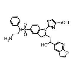 CCCCCCCCc1csc(N2c3ccc(S(=O)(=O)N(CCN)c4ccccc4)cc3CC2CC(O)c2cnc3occc3c2)n1